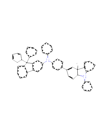 CC12C=C(c3ccc(N(c4ccccc4)c4ccc5c(c4)C(c4ccccc4)(C4C=CC=CC4)c4ccccc4-5)cc3)C=CC1N(c1ccccc1)c1ccccc12